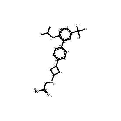 CC(C)Sc1ncc(C(F)(F)F)cc1-c1ccc(C2CC(OCC(=O)O)C2)cc1